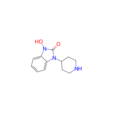 O=c1n(O)c2ccccc2n1C1CCNCC1